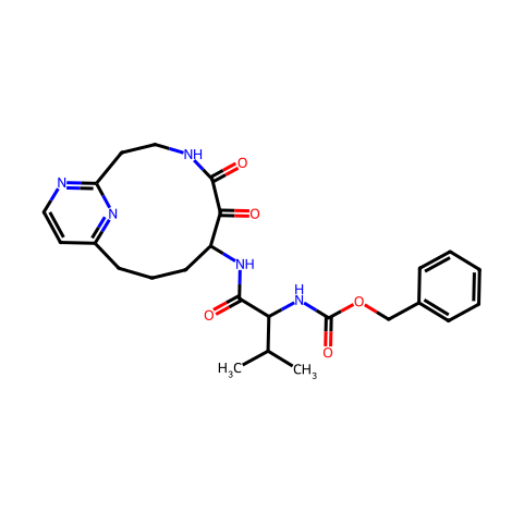 CC(C)C(NC(=O)OCc1ccccc1)C(=O)NC1CCCc2ccnc(n2)CCNC(=O)C1=O